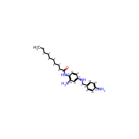 CCCCCCCCCC(=O)Nc1ccc(NCc2ccc(N)cc2)cc1N